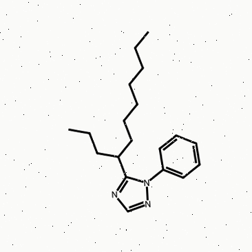 CCCCCCCC(CCC)c1ncnn1-c1ccccc1